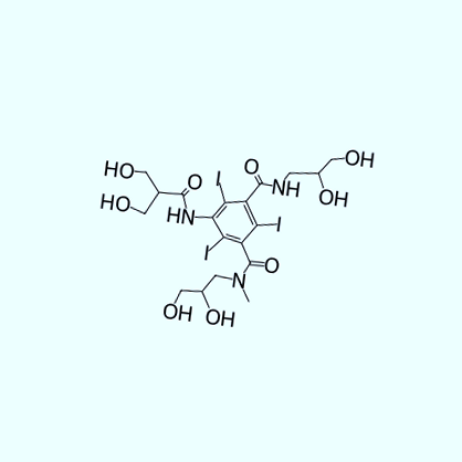 CN(CC(O)CO)C(=O)c1c(I)c(NC(=O)C(CO)CO)c(I)c(C(=O)NCC(O)CO)c1I